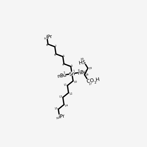 CCC[CH2][Sn]([CH2]CCC)([CH2]CCCCCC(C)C)[CH2]CCCCCC(C)C.O=C(O)CCS